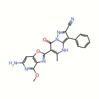 COc1nc(N)cc2oc(-c3c(C)[nH]c4c(-c5ccccc5)c(C#N)nn4c3=O)nc12